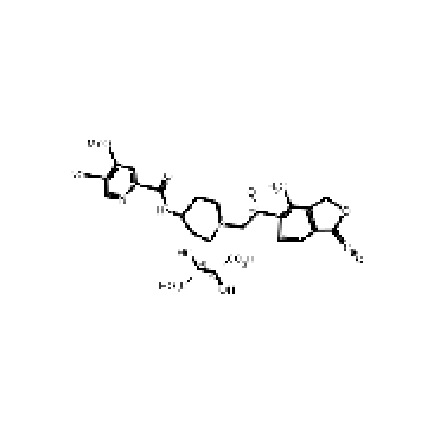 COc1cc(C(=O)NC2CCN(C[C@H](O)c3ccc4c(c3C)COC4=C=O)CC2)ncc1C#N.O=C(O)[C@H](O)[C@@H](O)C(=O)O